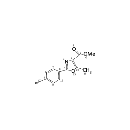 COC(=O)c1nc(-c2ccc(F)cc2)oc1C